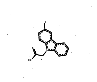 O=C(O)Cn1c2ccccc2c2cc(Cl)ccc21